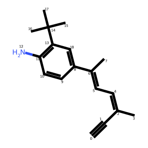 C#C/C(C)=C\C=C(/C)c1ccc(N)c(C(C)(C)C)c1